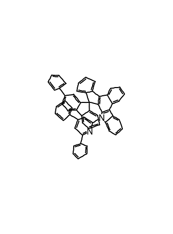 c1ccc(-c2cc(-c3ccccc3)nc(-n3c4ccccc4c4c5ccccc5c5c(c43)C3(c4ccccc4-c4ccc(-c6ccccc6)cc43)c3ccccc3-5)c2)cc1